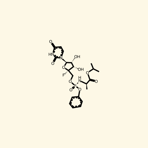 CC(C)OC(=O)[C@@H](C)N[P@](=O)(OC[C@@]1(F)O[C@@H](n2ccc(=O)[nH]c2=O)[C@H](O)[C@@H]1O)Oc1ccccc1